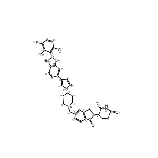 O=C1CCC(N2Cc3cc(CN4CCC(n5cc(-c6cnc7c(c6)O[C@@H](c6c(Cl)ccc(F)c6Cl)N7)cn5)CC4)ccc3C2=O)C(=O)N1